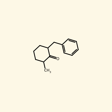 CC1CCCC(Cc2ccccc2)C1=O